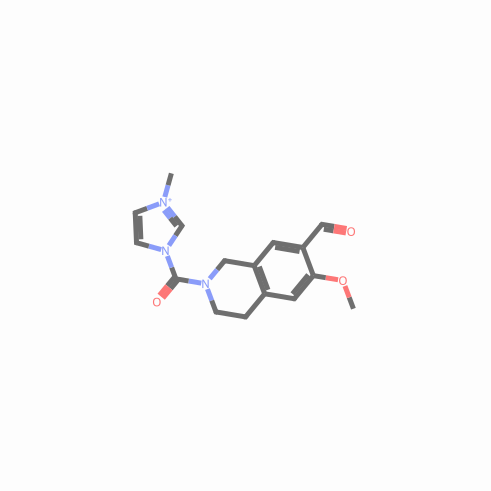 COc1cc2c(cc1C=O)CN(C(=O)n1cc[n+](C)c1)CC2